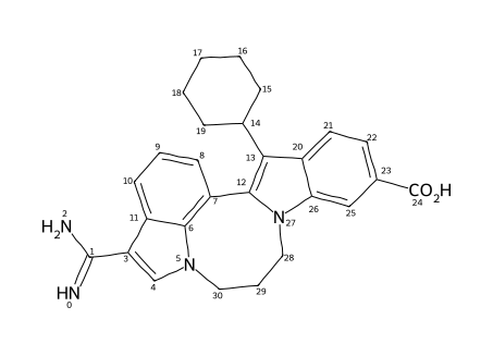 N=C(N)c1cn2c3c(cccc13)-c1c(C3CCCCC3)c3ccc(C(=O)O)cc3n1CCC2